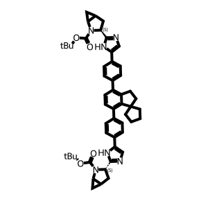 CC(C)(C)OC(=O)N1C2CC2C[C@H]1c1ncc(-c2ccc(-c3ccc(-c4ccc(-c5cnc([C@@H]6CC7CC7N6C(=O)OC(C)(C)C)[nH]5)cc4)c4c3CCC43CCCC3)cc2)[nH]1